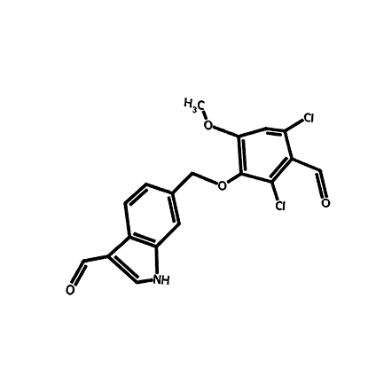 COc1cc(Cl)c(C=O)c(Cl)c1OCc1ccc2c(C=O)c[nH]c2c1